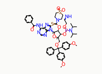 COc1ccc(C(OC[C@H]2O[C@@H](n3cnc4c(NC(=O)c5ccccc5)ncnc43)C(OC(=S)N3CCS(=O)(=O)CC3)C2OP(OCC=N)N(C(C)C)C(C)C)(c2ccccc2)c2ccc(OC)cc2)cc1